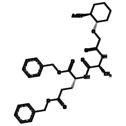 CC(=O)N[C@H]1CCCC[C@@H]1OCC(=O)N[C@@H](C)C(=O)N[C@H](CCC(=O)OCc1ccccc1)C(=O)OCc1ccccc1